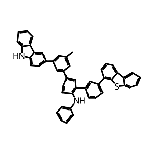 Cc1cc(-c2ccc(Nc3ccccc3)c(-c3cccc(-c4cccc5c4sc4ccccc45)c3)c2)cc(-c2ccc3[nH]c4ccccc4c3c2)c1